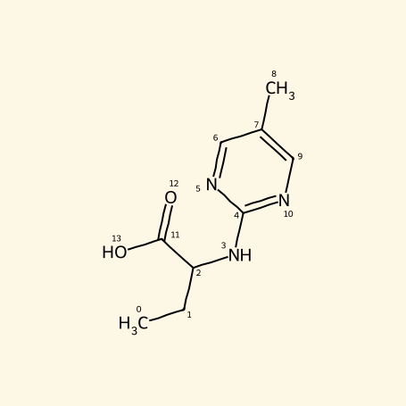 CCC(Nc1ncc(C)cn1)C(=O)O